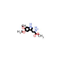 COC(=O)C(N)Cc1c[nH]c2cc(OC)c(OC)cc12